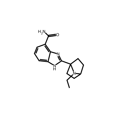 CCN1C2CCC1(c1nc3c(C(N)=O)cccc3[nH]1)CC2